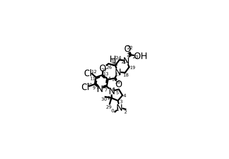 CN(C)C1CCN(c2nc(Cl)c(Cl)c3c2C(=O)N2CCN(C(=O)O)C[C@@H]2CO3)C1(C)C